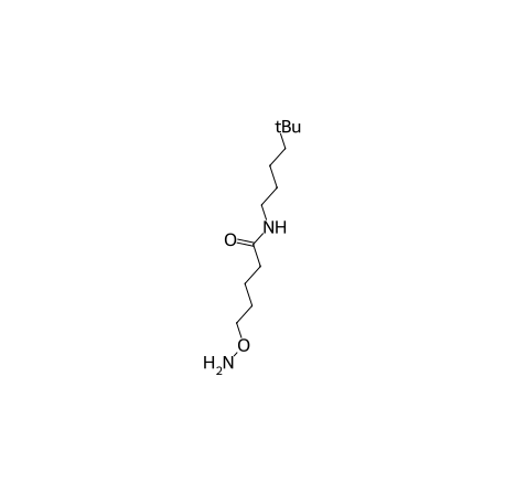 CC(C)(C)CCCCNC(=O)CCCCON